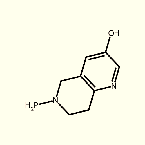 Oc1cnc2c(c1)CN(P)CC2